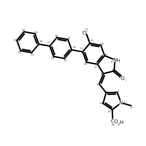 Cn1cc(C=C2C(=O)Nc3cc(Cl)c(-c4ccc(-c5ccccc5)cc4)cc32)cc1C(=O)O